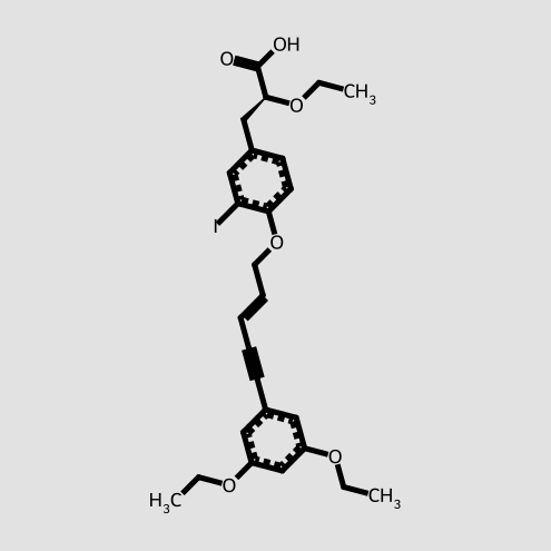 CCOc1cc(C#CC=CCOc2ccc(C[C@H](OCC)C(=O)O)cc2I)cc(OCC)c1